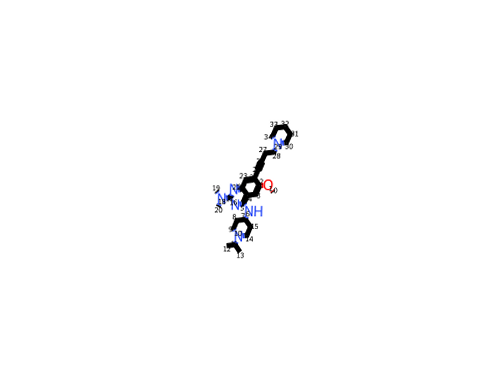 COc1cc2c(NC3CCN(C(C)C)CC3)nc(N(C)C)nc2cc1C#CCCN1CCCCC1